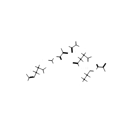 C=C(C(=O)O)C(C(F)(F)F)C(F)(F)F.C=C(C(=O)O)C(F)(F)C(F)(C(F)F)C(F)(F)F.C=C(C)C(=O)OC(C(F)(F)F)C(F)(F)F.C=C(C)C(=O)OCC(F)(F)C(F)(F)C(F)(F)F.CC(=CC(F)(F)C(F)(C(F)F)C(F)(F)F)C(=O)O